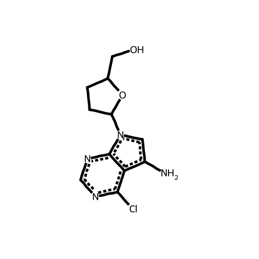 Nc1cn(C2CCC(CO)O2)c2ncnc(Cl)c12